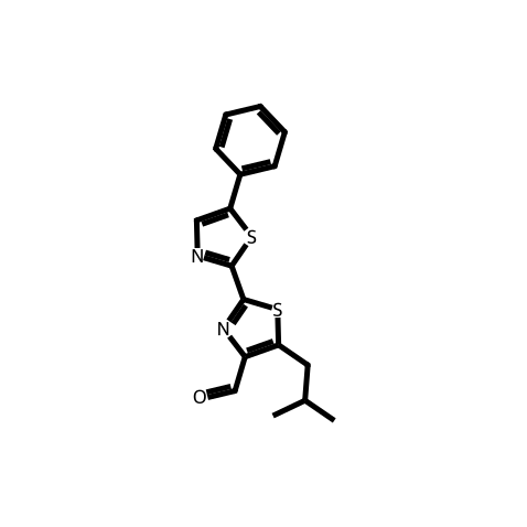 CC(C)Cc1sc(-c2ncc(-c3ccccc3)s2)nc1C=O